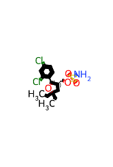 CCC1(CC)C[C@@H](COS(N)(=O)=O)[C@H](c2ccc(Cl)cc2Cl)O1